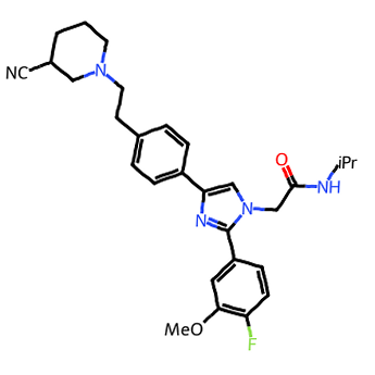 COc1cc(-c2nc(-c3ccc(CCN4CCCC(C#N)C4)cc3)cn2CC(=O)NC(C)C)ccc1F